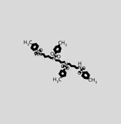 Cc1ccc(S(=O)(=O)NCCCCN(CCCCN(CCCCNS(=O)(=O)c2ccc(C)cc2)S(=O)(=O)c2ccc(C)cc2)S(=O)(=O)c2ccc(C)cc2)cc1